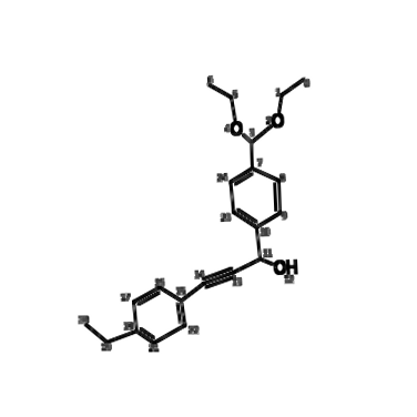 CCOC(OCC)c1ccc(C(O)C#Cc2ccc(CC)cc2)cc1